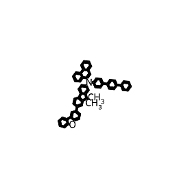 CC1(C)c2cc(-c3ccc4oc5ccccc5c4c3)ccc2-c2ccc(N(c3ccc(-c4ccc(-c5ccccc5)cc4)cc3)c3cc4ccccc4c4ccccc34)cc21